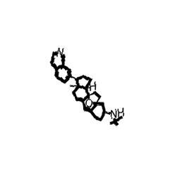 CC(C)(C)N[C@H]1CCC2=CC3=CC[C@]4(C)[C@@H](c5ccc6ccncc6c5)CC[C@H]4[C@@]34CC[C@]2(C1)O4